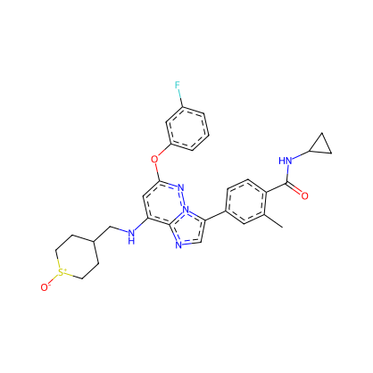 Cc1cc(-c2cnc3c(NCC4CC[S+]([O-])CC4)cc(Oc4cccc(F)c4)nn23)ccc1C(=O)NC1CC1